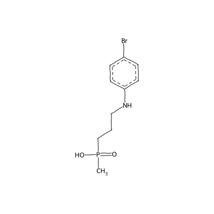 CP(=O)(O)CCCNc1ccc(Br)cc1